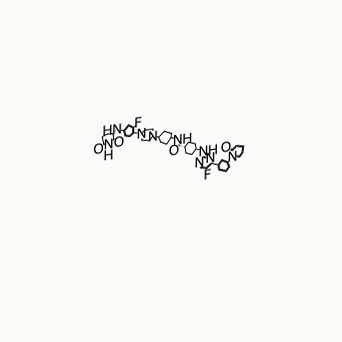 O=C1CC[C@H](Nc2ccc(N3CCN(C4CCC(NC(=O)[C@H]5CC[C@H](Nc6ncc(F)c(-c7cccc(-n8ccccc8=O)c7)n6)CC5)CC4)CC3)c(F)c2)C(=O)N1